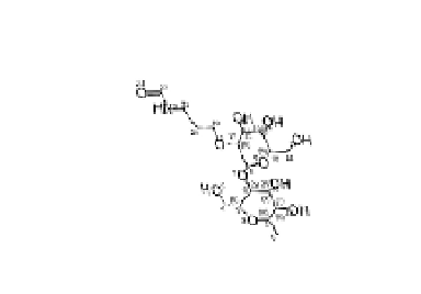 C[C@H]1O[C@H](CO)[C@@H](OC2O[C@H](CO)[C@@H](O)[C@H](O)[C@H]2OCCCNC=O)[C@H](O)[C@H]1O